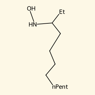 CCCCCCCCCC(CC)NO